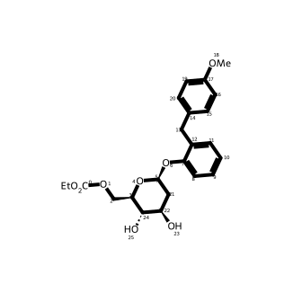 CCOC(=O)OC[C@H]1O[C@@H](Oc2ccccc2Cc2ccc(OC)cc2)C[C@@H](O)[C@@H]1O